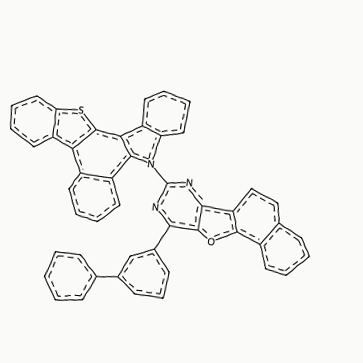 c1ccc(-c2cccc(-c3nc(-n4c5ccccc5c5c6sc7ccccc7c6c6ccccc6c54)nc4c3oc3c5ccccc5ccc43)c2)cc1